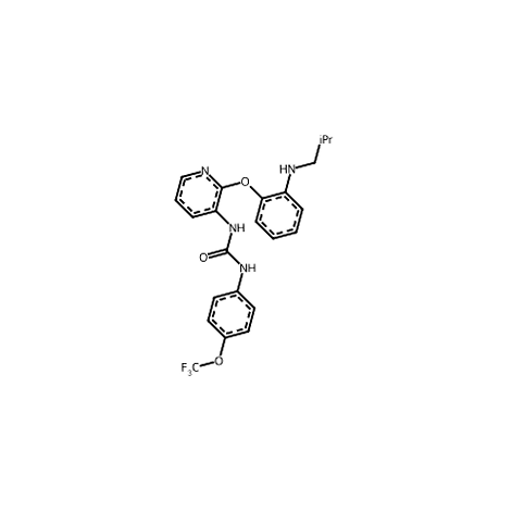 CC(C)CNc1ccccc1Oc1ncccc1NC(=O)Nc1ccc(OC(F)(F)F)cc1